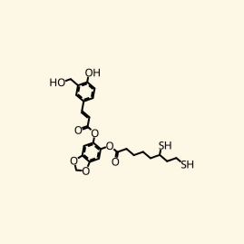 O=C(/C=C/c1ccc(O)c(CO)c1)Oc1cc2c(cc1OC(=O)CCCCC(S)CCS)OCO2